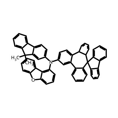 CC1(C)c2ccccc2-c2ccc(N(c3ccc4c(c3)-c3ccccc3C3(c5ccccc5-c5ccccc53)C3C=CC=CC43)c3cccc4oc5ccccc5c34)cc21